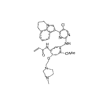 C=CC(=O)Nc1cc(Nc2ncc(Cl)c(-c3cn4c5c(cccc35)CCC4)n2)c(OC)cc1OCCN1CCN(C)CC1